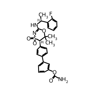 C[C@H](NC1=NS(=O)(=O)[C@H](c2ccc(-c3cccc(OC(N)=O)c3)cc2)C(C)(C)O1)c1ccccc1F